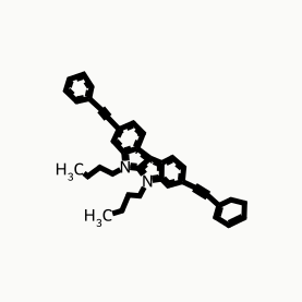 CCCCn1c2cc(C#CC3=CC=CCC3)ccc2c2c3ccc(C#Cc4ccccc4)cc3n(CCCC)c21